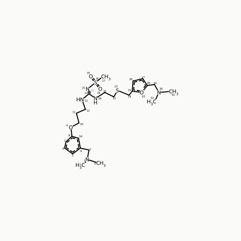 CN(C)Cc1cccc(OCCCN/C(=N/S(C)(=O)=O)NCCSCc2ccc(CN(C)C)o2)c1